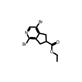 CCOC(=O)C1Cc2c(Br)cnc(Br)c2C1